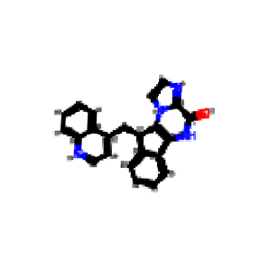 O=c1[nH]c2c(n3ccnc13)C(Cc1ccnc3ccccc13)c1ccccc1-2